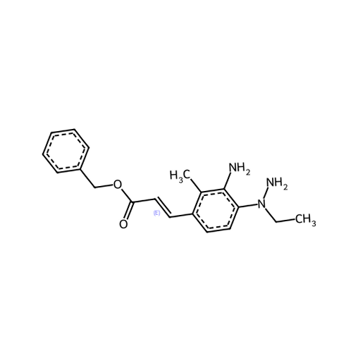 CCN(N)c1ccc(/C=C/C(=O)OCc2ccccc2)c(C)c1N